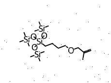 C=C(C)COCCCC[Si](O[Si](C)(C)C)(O[Si](C)(C)C)O[Si](C)(C)C